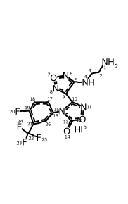 I.NCCNc1nonc1-c1noc(=O)n1-c1ccc(F)c(C(F)(F)F)c1